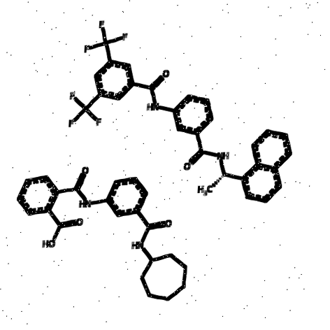 C[C@H](NC(=O)c1cccc(NC(=O)c2cc(C(F)(F)F)cc(C(F)(F)F)c2)c1)c1cccc2ccccc12.O=C(NC1CCCCCC1)c1cccc(NC(=O)c2ccccc2C(=O)O)c1